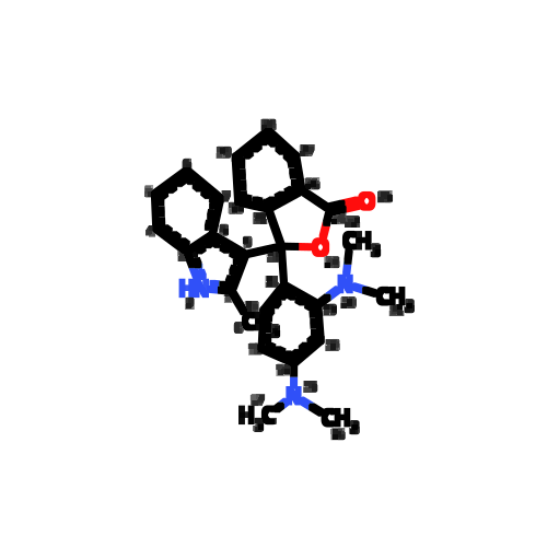 Cc1[nH]c2ccccc2c1C1(c2ccc(N(C)C)cc2N(C)C)OC(=O)c2ccccc21